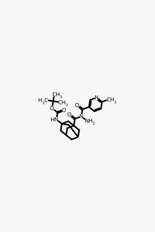 Cc1ccc(C(=O)N(N)C(=O)C23CC4CC(CC(NC(=O)OC(C)(C)C)(C4)C2)C3)cn1